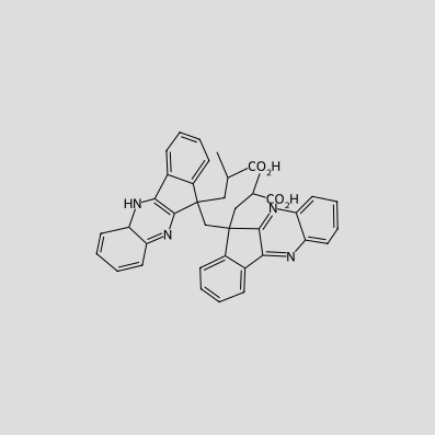 CC(CC1(CC2(CC(C)C(=O)O)c3ccccc3-c3nc4ccccc4nc32)C2=C(NC3C=CC=CC3=N2)c2ccccc21)C(=O)O